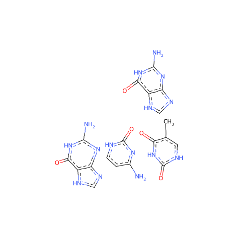 Cc1c[nH]c(=O)[nH]c1=O.Nc1cc[nH]c(=O)n1.Nc1nc2nc[nH]c2c(=O)[nH]1.Nc1nc2nc[nH]c2c(=O)[nH]1